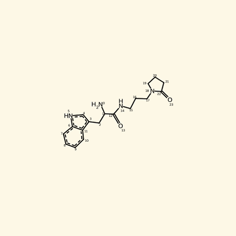 NC(Cc1c[nH]c2ccccc12)C(=O)NCCCN1CCCC1=O